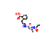 CC(CC(=O)NC/C=C\c1ccccc1C(=O)O)NC(=O)C1CC1